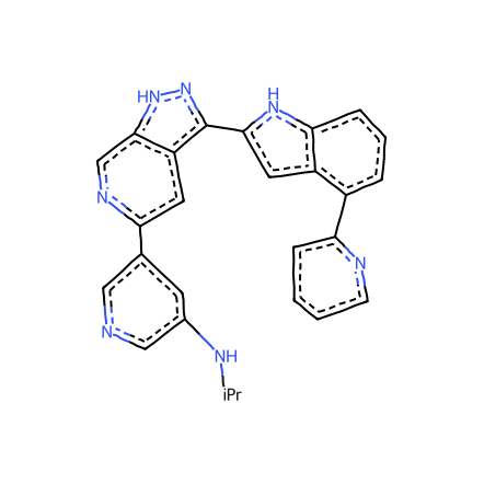 CC(C)Nc1cncc(-c2cc3c(-c4cc5c(-c6ccccn6)cccc5[nH]4)n[nH]c3cn2)c1